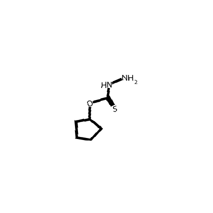 NNC(=S)OC1CCCC1